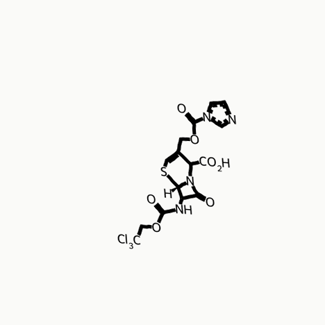 O=C(NC1C(=O)N2C(C(=O)O)C(COC(=O)n3ccnc3)=CS[C@@H]12)OCC(Cl)(Cl)Cl